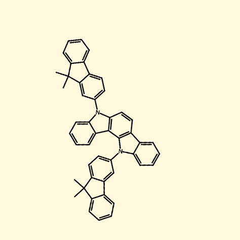 CC1(C)c2ccccc2-c2cc(-n3c4ccccc4c4ccc5c(c6ccccc6n5-c5ccc6c(c5)C(C)(C)c5ccccc5-6)c43)ccc21